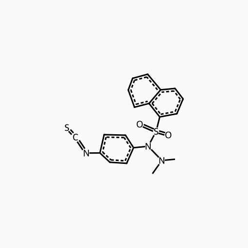 CN(C)N(c1ccc(N=C=S)cc1)S(=O)(=O)c1cccc2ccccc12